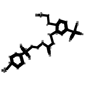 CCOC(=O)COc1ccc(S(=O)(=O)Cl)cc1OCC(=O)OCCS(=O)(=O)c1ccc(C)cc1